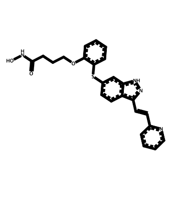 O=C(CCCOc1ccccc1Sc1ccc2c(/C=C/c3ccccn3)n[nH]c2c1)NO